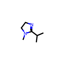 CC(C)C1=NCCN1C